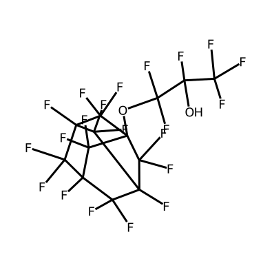 OC(F)(C(F)(F)F)C(F)(F)OC12C(F)(F)C3(F)C(F)(F)C(F)(C(F)(F)C(F)(C3(F)F)C1(F)F)C2(F)F